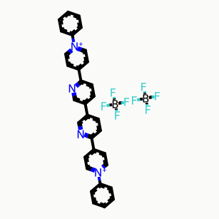 F[B-](F)(F)F.F[B-](F)(F)F.c1ccc(-[n+]2ccc(-c3ccc(-c4ccc(-c5cc[n+](-c6ccccc6)cc5)nc4)cn3)cc2)cc1